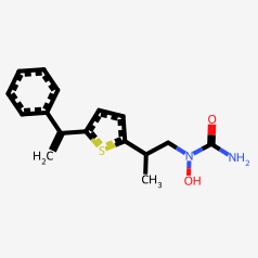 C=C(c1ccccc1)c1ccc(C(C)CN(O)C(N)=O)s1